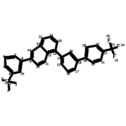 C[Si](C)(C)c1cccc(-c2ccc3c(-c4cccc(-c5ccc(C(F)(F)F)cc5)c4)cccc3c2)c1